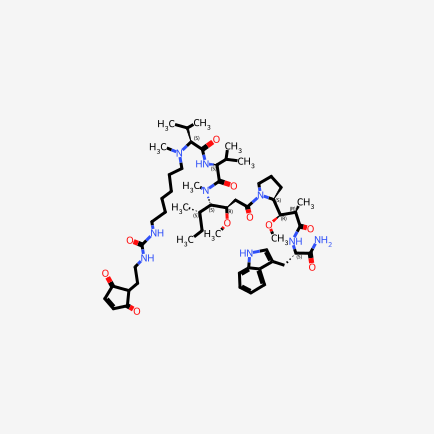 CC[C@H](C)[C@@H]([C@@H](CC(=O)N1CCC[C@H]1[C@H](OC)[C@@H](C)C(=O)N[C@@H](Cc1c[nH]c2ccccc12)C(N)=O)OC)N(C)C(=O)[C@@H](NC(=O)[C@H](C(C)C)N(C)CCCCCCNC(=O)NCCC1C(=O)C=CC1=O)C(C)C